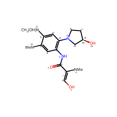 CN/C(=C\O)C(=O)Nc1cc(NC)c(N(C)O)cc1N1CC[C@@H](O)C1